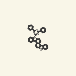 c1ccc(-c2nc(-c3ccccc3)nc(-n3c4ccccc4c4c5ccc6sc7ccccc7c6c5ccc43)n2)cc1